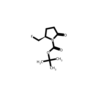 CC(C)(C)OC(=O)N1C(=O)CC[C@@H]1CF